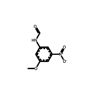 COc1cc(NC=O)cc([N+](=O)[O-])c1